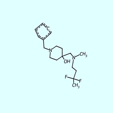 CN(CCC(C)(F)F)CC1(O)CCN(Cc2ccccc2)CC1